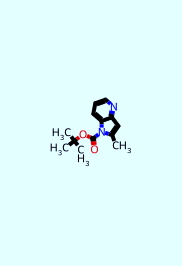 Cc1cc2ncccc2n1C(=O)OC(C)(C)C